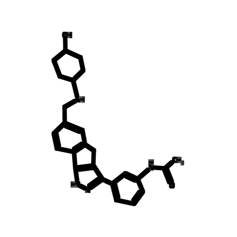 CC(=O)Nc1cccc(-c2n[nH]c3c2Cc2cc(CNC4CCC(O)CC4)ccc2-3)c1